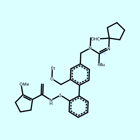 C=C(NSc1ccccc1-c1ccc(CN(C)/C(CCCC)=N\C2(C=O)CCCC2)cc1COCC)C1=C(OC)CCC1